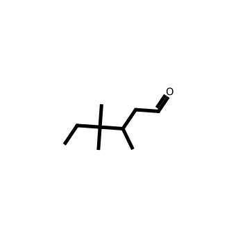 CCC(C)(C)C(C)CC=O